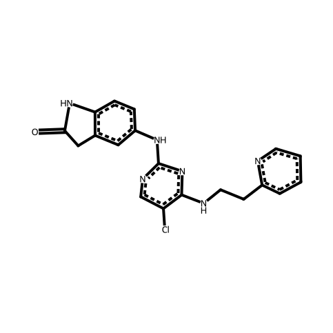 O=C1Cc2cc(Nc3ncc(Cl)c(NCCc4ccccn4)n3)ccc2N1